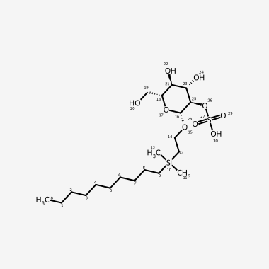 CCCCCCCCCC[Si](C)(C)CCO[C@@H]1O[C@H](CO)[C@@H](O)[C@H](O)[C@H]1OS(=O)(=O)O